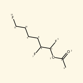 CC(=O)OC(F)C(F)CCCCF